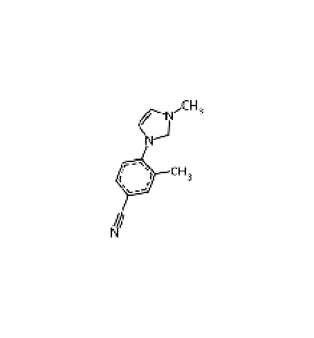 Cc1cc(C#N)ccc1N1C=CN(C)C1